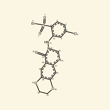 CCS(=O)(=O)c1ccc(Cl)cc1Nn1cnc2cc3c(cc2c1=O)OCCO3